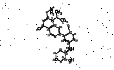 CC(C)n1c(CN)cc(=O)c2ccc(-c3nc(N[C@@H]4CCOC[C@H]4O)ncc3F)cc21